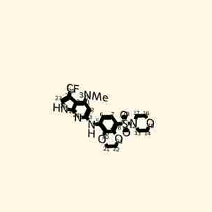 CNc1cc(Nc2ccc(S(=O)(=O)N3CCOCC3)c3c2OCCO3)nc2[nH]cc(C(F)(F)F)c12